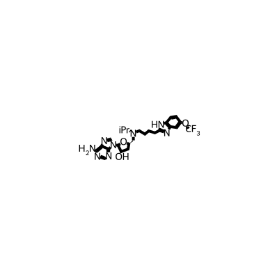 CC(C)N(CCCCc1nc2cc(OC(F)(F)F)ccc2[nH]1)C[C@@H]1C[C@@H](O)C(n2cnc3c(N)ncnc32)O1